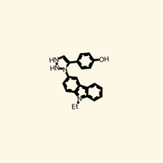 CCn1c2ccccc2c2cc(N3NNC=C3c3ccc(O)cc3)ccc21